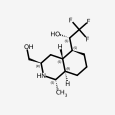 C[C@@H]1N[C@@H](CO)C[C@H]2[C@H]1CCC[C@@H]2[C@H](O)C(F)(F)F